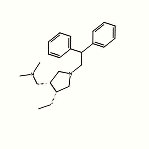 CC[C@H]1CN(CC(c2ccccc2)c2ccccc2)C[C@H]1CN(C)C